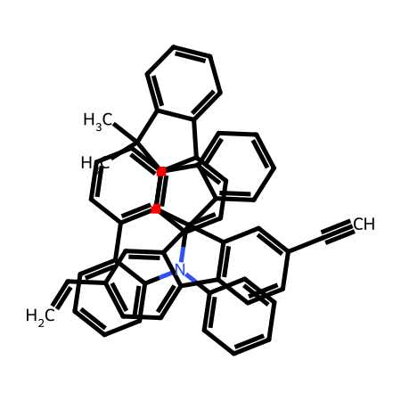 C#Cc1ccc2c(c1)C1(c3cc(C=C)ccc3-2)c2ccccc2-c2cccc(-c3ccccc3N(c3ccccc3)c3ccc4c(c3)C(C)(C)c3ccccc3-4)c21